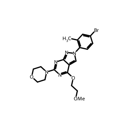 COCCOc1nc(N2CCOCC2)nc2nn(-c3ccc(Br)cc3C)cc12